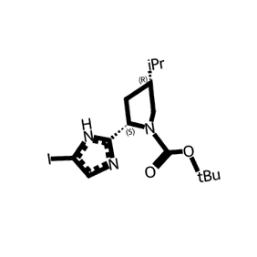 CC(C)[C@H]1C[C@@H](c2ncc(I)[nH]2)N(C(=O)OC(C)(C)C)C1